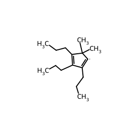 CCCC1=[C]C(C)(C)C(CCC)=C1CCC